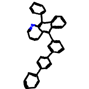 c1ccc(-c2ccc(-c3cccc(-c4c5ccccc5c(-c5ccccc5)c5ncccc45)c3)cc2)cc1